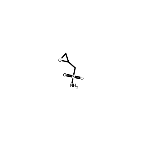 NS(=O)(=O)CC1CO1